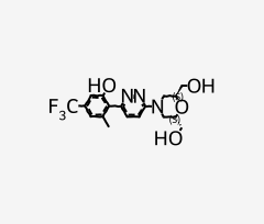 Cc1cc(C(F)(F)F)cc(O)c1-c1ccc(N2C[C@@H](CO)O[C@H](CO)C2)nn1